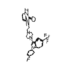 O=C1NCCN1CCN1CCN(c2cn(-c3ccc(F)cc3)c3ccc(C(F)(F)F)cc23)CC1